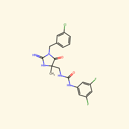 CC1(CNC(=O)Nc2cc(F)cc(F)c2)NC(=N)N(Cc2cccc(Cl)c2)C1=O